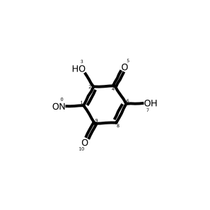 O=NC1=C(O)C(=O)C(O)=CC1=O